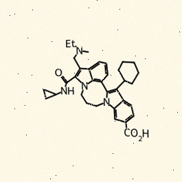 CCN(C)Cc1c(C(=O)NC2CC2)n2c3c(cccc13)-c1c(C3CCCCC3)c3ccc(C(=O)O)cc3n1CCC2